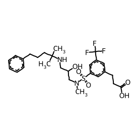 CN(CC(O)CNC(C)(C)CCCc1ccccc1)S(=O)(=O)c1cc(CCC(=O)O)cc(C(F)(F)F)c1